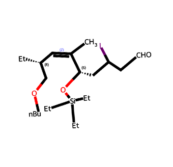 CCCCOC[C@@H](/C=C(/C)[C@H](CC(I)CC=O)O[Si](CC)(CC)CC)CC